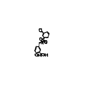 O=S(=O)(/N=C/c1ccc(O)c(O)c1)c1cccc(Cl)c1